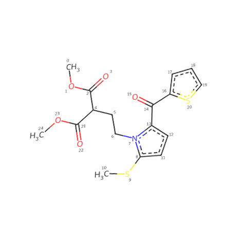 COC(=O)C(CCn1c(SC)ccc1C(=O)c1cccs1)C(=O)OC